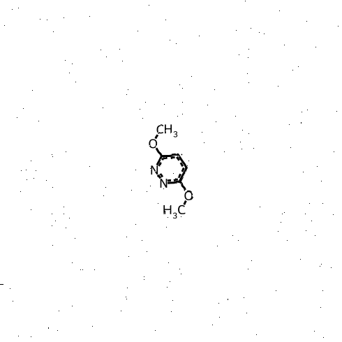 COc1[c]cc(OC)nn1